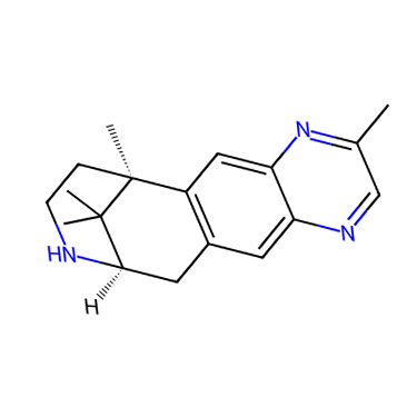 Cc1cnc2cc3c(cc2n1)[C@]1(C)CCN[C@H](C3)C1(C)C